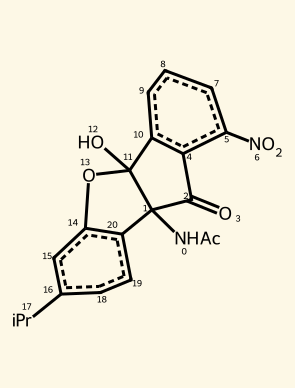 CC(=O)NC12C(=O)c3c([N+](=O)[O-])cccc3C1(O)Oc1cc(C(C)C)ccc12